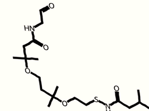 CC(C)CC(=O)NSCCOC(C)(C)CCOC(C)(C)CC(=O)NCC=O